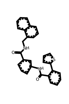 O=C(NCc1cccc2ccccc12)c1cccc(NC(=O)c2ccccc2-c2cccs2)c1